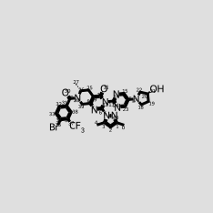 Cc1cc(C)n(-c2nc3c(c(=O)n2-c2ncc(N4CC[C@H](O)C4)cn2)C[C@@H](C)N(C(=O)c2ccc(Br)c(C(F)(F)F)c2)C3)n1